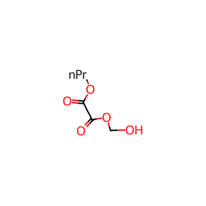 CCCOC(=O)C(=O)OCO